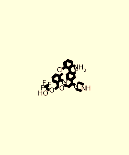 CCc1cccc(C)c1-n1c(=O)cc(N2CCNCC2)c2cc(F)c(-c3c(N)cccc3Cl)cc21.O=C(O)C(F)(F)F